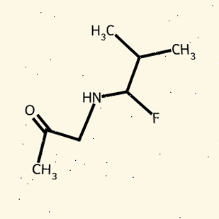 CC(=O)CNC(F)C(C)C